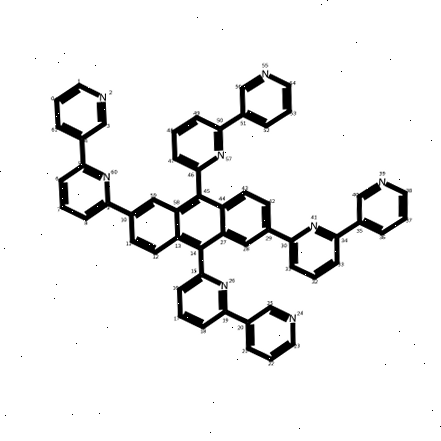 c1cncc(-c2cccc(-c3ccc4c(-c5cccc(-c6cccnc6)n5)c5cc(-c6cccc(-c7cccnc7)n6)ccc5c(-c5cccc(-c6cccnc6)n5)c4c3)n2)c1